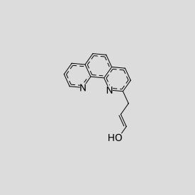 OC=CCc1ccc2ccc3cccnc3c2n1